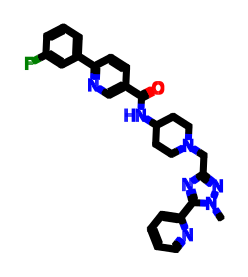 Cn1nc(CN2CCC(NC(=O)c3ccc(-c4cccc(F)c4)nc3)CC2)nc1-c1ccccn1